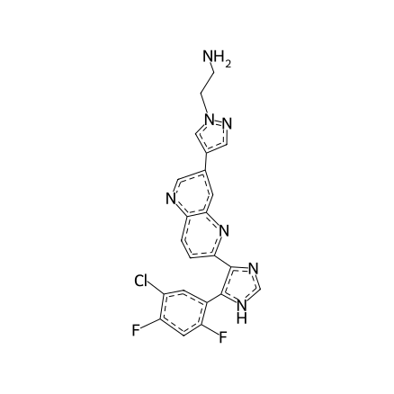 NCCn1cc(-c2cnc3ccc(-c4nc[nH]c4-c4cc(Cl)c(F)cc4F)nc3c2)cn1